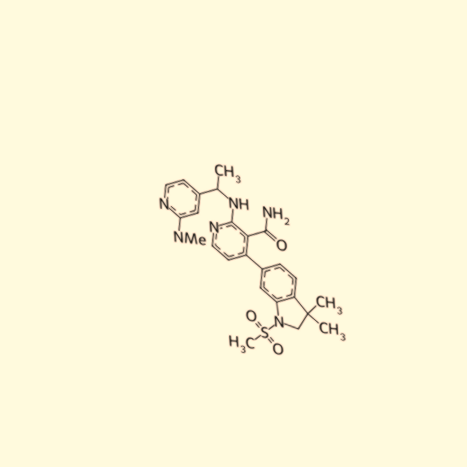 CNc1cc(C(C)Nc2nccc(-c3ccc4c(c3)N(S(C)(=O)=O)CC4(C)C)c2C(N)=O)ccn1